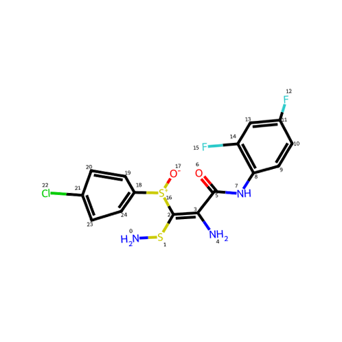 NS/C(=C(\N)C(=O)Nc1ccc(F)cc1F)[S+]([O-])c1ccc(Cl)cc1